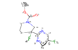 CC(C)(C)OC(=O)N1CCC(F)(c2ncc(F)cn2)C1